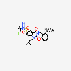 CNC1=C(Cn2c(=O)c3cc(S(=O)(=O)NC4(CF)CC4)ccc3n(CC=C(C)C)c2=O)C=CC=CC1